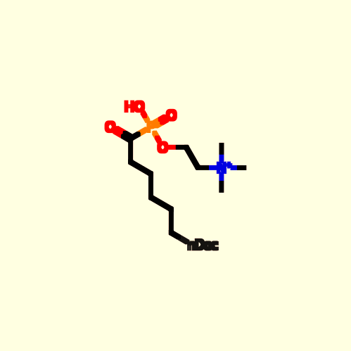 CCCCCCCCCCCCCCCC(=O)P(=O)(O)OCC[N+](C)(C)C